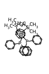 C[Si](C)(C)[C]12[CH]3[CH]4[C]5(P(c6ccccc6)c6ccccc6)[CH]1[Fe]43521678[CH]2[CH]1[C]6([Si](C)(C)C)[CH]7[C]28P(c1ccccc1)c1ccccc1